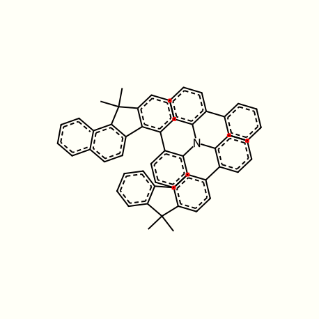 CC1(C)c2ccccc2-c2cc(-c3ccccc3N(c3ccccc3-c3ccccc3)c3ccccc3-c3cccc4c3-c3ccc5ccccc5c3C4(C)C)ccc21